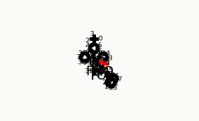 CC(C)(C)c1ccc(S(OS(=O)(=O)C(F)(F)C(OC(=O)C23CC4CC(CC(C4)C2)C3)C(F)(F)F)(c2ccccc2)c2ccccc2)cc1